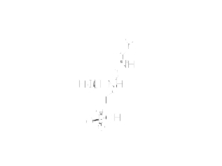 Cl.Cl.O=P(O)(O)OCCCNCCNCCCl